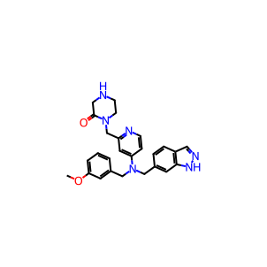 COc1cccc(CN(Cc2ccc3cn[nH]c3c2)c2ccnc(CN3CCNCC3=O)c2)c1